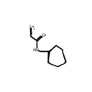 C=CC(=O)N[C]1CCCCC1